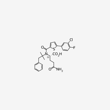 CC(C)(Cc1ccccc1)N(C(=O)c1ccc(-c2ccc(F)c(Cl)c2)s1)[C@@H](CCC(N)=O)C(=O)O